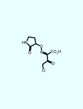 O=C(O)/C(=N\OC1CCNC1=O)C(=O)CCl